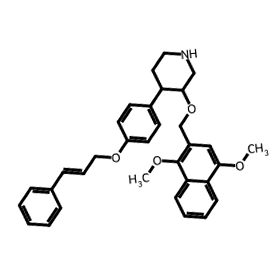 COc1cc(COC2CNCCC2c2ccc(OCC=Cc3ccccc3)cc2)c(OC)c2ccccc12